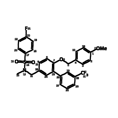 COc1ccc(COc2ccc(CN(C)S(=O)(=O)c3ccc(F)cc3)cc2-c2cccc(C(F)(F)F)c2)cc1